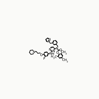 Cc1cc(C)c(OC(=O)N(Cc2cccc(Cn3cccn3)c2)c2ccnc(Nc3ccc(OCCCN4CCCCC4)c(F)c3)n2)c(C)c1